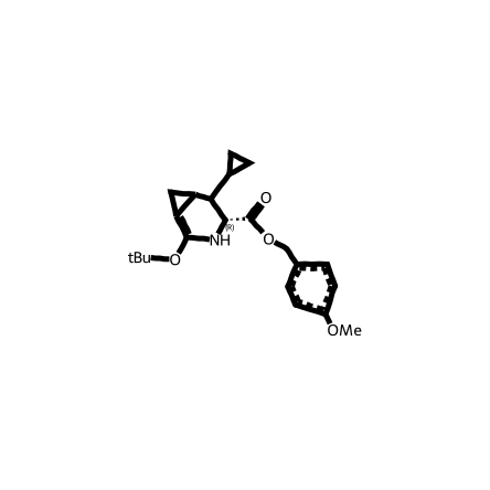 COc1ccc(COC(=O)[C@@H]2NC(OC(C)(C)C)=C3CC3C2C2CC2)cc1